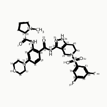 CN1CCC[C@H]1C(=O)Nc1cc(N2CCOCC2)ccc1C(=O)Nc1n[nH]c2c1CN(S(=O)(=O)c1cc(F)cc(F)c1)CC2